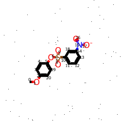 COc1ccc(OS(=O)(=O)c2cccc([N+](=O)[O-])c2)cc1